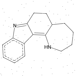 c1ccc2c(c1)N=C1CCC3CCCCNC3=C12